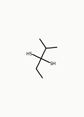 CCC(S)(S)C(C)C